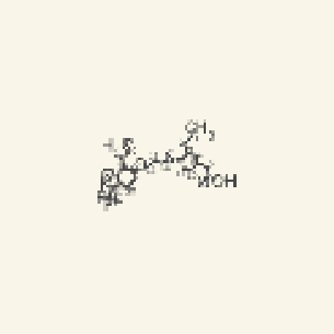 CCCc1cc(CC(=O)O)ccc1SCCCOc1ccc2c(C(F)(F)F)noc2c1CCC